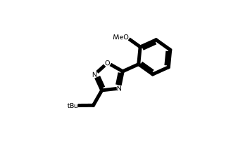 COc1ccccc1-c1nc(CC(C)(C)C)no1